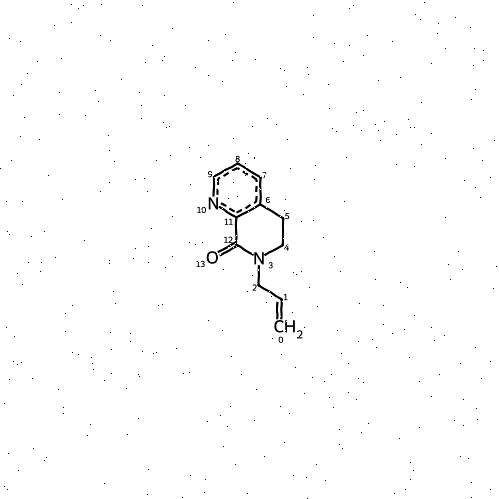 C=CCN1CCc2cccnc2C1=O